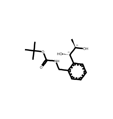 C[C@@H](O)[C@@H](O)c1ccccc1CNC(=O)OC(C)(C)C